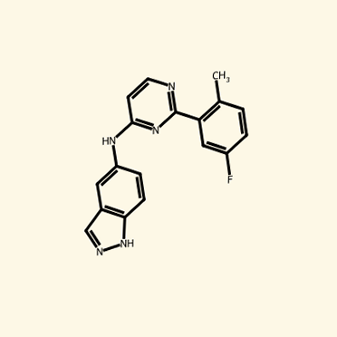 Cc1ccc(F)cc1-c1nccc(Nc2ccc3[nH]ncc3c2)n1